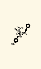 CCCCc1ccc(C(=O)N[C@@H](CNC(=O)C#Cc2ccccc2)C(=O)N[C@@H](CC(C)C)B(O)O)cc1